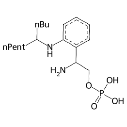 CCCCCC(CCCC)Nc1ccccc1C(N)COP(=O)(O)O